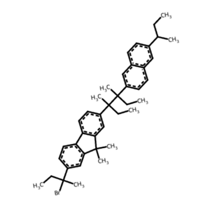 CCC(C)c1ccc2cc(C(C)(CC)C(C)(CC)c3ccc4c(c3)C(C)(C)c3cc(C(C)(Br)CC)ccc3-4)ccc2c1